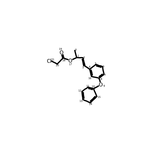 CC(/C=C/c1cccc(Oc2ccccc2)c1)OC(=O)CCl